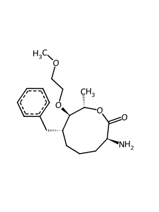 COCCO[C@@H]1[C@@H](Cc2ccccc2)CCC[C@H](N)C(=O)O[C@H]1C